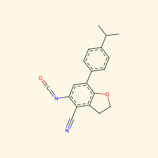 CC(C)c1ccc(-c2cc(N=C=O)c(C#N)c3c2OCC3)cc1